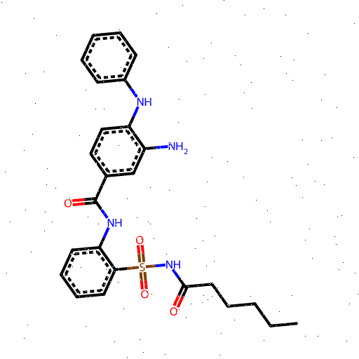 CCCCCC(=O)NS(=O)(=O)c1ccccc1NC(=O)c1ccc(Nc2ccccc2)c(N)c1